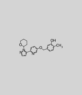 Cc1ccc(COc2ccc(-c3ccnn3C3CCCCO3)nc2)cc1O